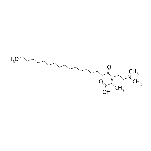 CCCCCCCCCCCCCCCCCC(=O)C(CCN(C)C)=C(C)C(=O)O